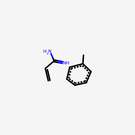 C=CC(=N)N.Cc1ccccc1